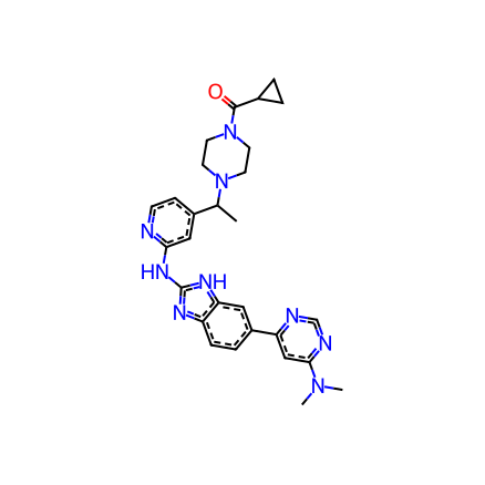 CC(c1ccnc(Nc2nc3ccc(-c4cc(N(C)C)ncn4)cc3[nH]2)c1)N1CCN(C(=O)C2CC2)CC1